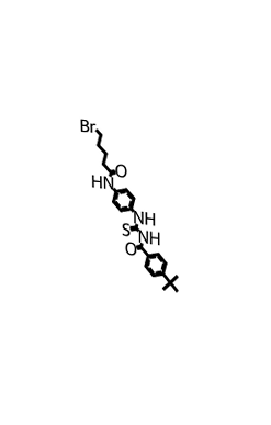 CC(C)(C)c1ccc(C(=O)NC(=S)Nc2ccc(NC(=O)CCCCBr)cc2)cc1